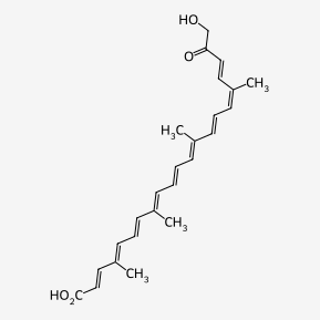 CC(=C/C=C/C(C)=C/C=C/C=C(C)/C=C/C=C(C)/C=C/C(=O)O)/C=C/C(=O)CO